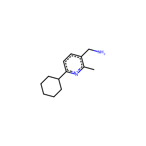 Cc1nc(C2CCCCC2)ccc1CN